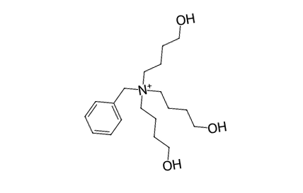 OCCCC[N+](CCCCO)(CCCCO)Cc1ccccc1